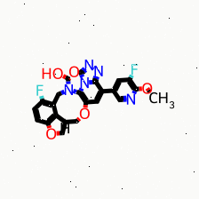 COc1ncc(-c2cc3c(n4cnnc24)N(C(=O)O)Cc2c(F)ccc4c2[C@@H](CO4)CO3)cc1F